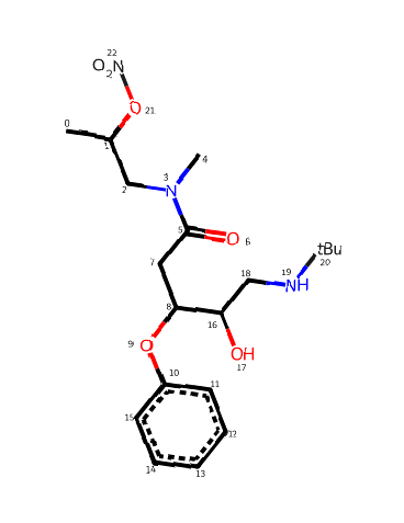 CC(CN(C)C(=O)CC(Oc1ccccc1)C(O)CNC(C)(C)C)O[N+](=O)[O-]